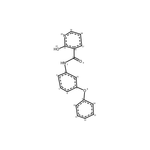 O=C(Nc1cccc(Oc2ccccc2)c1)c1cccnc1O